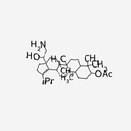 CC(=O)OC1CCC2(C)C(CCC3(C)C2CCC2C4=C(C(C)C)CCC4(C(O)CN)CCC23C)C1(C)C